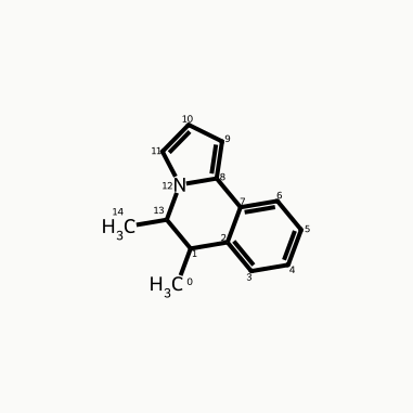 CC1c2ccccc2-c2cccn2C1C